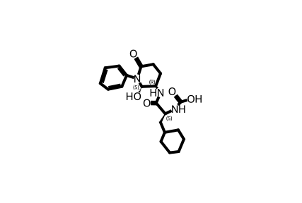 O=C(O)N[C@@H](CC1CCCCC1)C(=O)N[C@@H]1CCC(=O)N(c2ccccc2)[C@H]1O